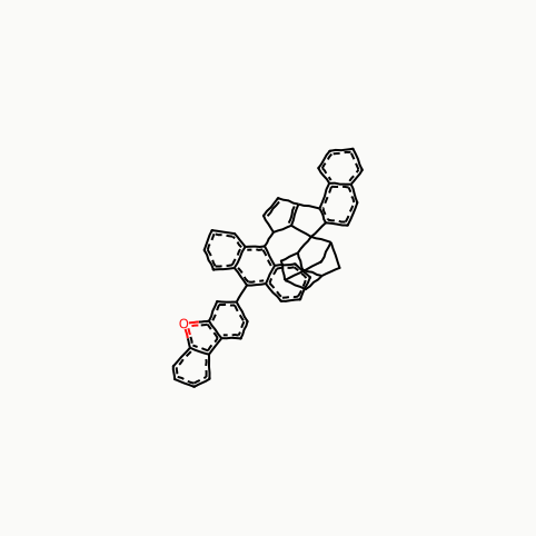 C1=CC(c2c3ccccc3c(-c3ccc4c(c3)oc3ccccc34)c3ccccc23)C2=C1c1c(ccc3ccccc13)C21C2CC3CC(C2)CC1C3